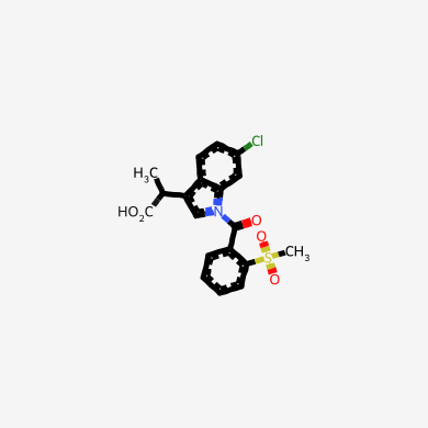 CC(C(=O)O)c1cn(C(=O)c2ccccc2S(C)(=O)=O)c2cc(Cl)ccc12